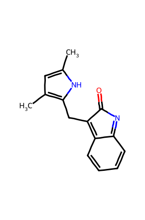 Cc1cc(C)c(CC2=c3ccccc3=NC2=O)[nH]1